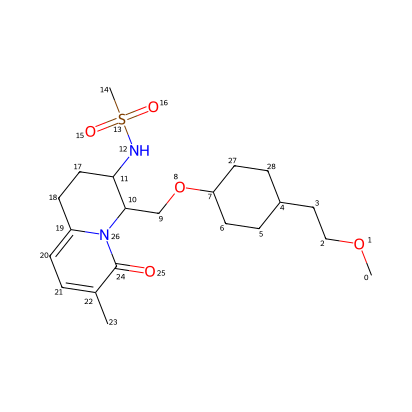 COCCC1CCC(OCC2C(NS(C)(=O)=O)CCc3ccc(C)c(=O)n32)CC1